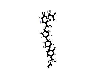 C=COC(=O)C1=CC=C(C2=CC=C(C3=CC=C(OC(=O)C(=C)/C=C\C(=O)OC(=O)C(=C)C)CC3)CC2)C(C)C1